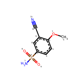 COc1ccc(S(N)(=O)=O)cc1C#N